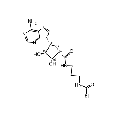 CCC(=O)NCCCNC(=O)[C@H]1O[C@@H](n2cnc3c(N)ncnc32)[C@H](O)[C@@H]1O